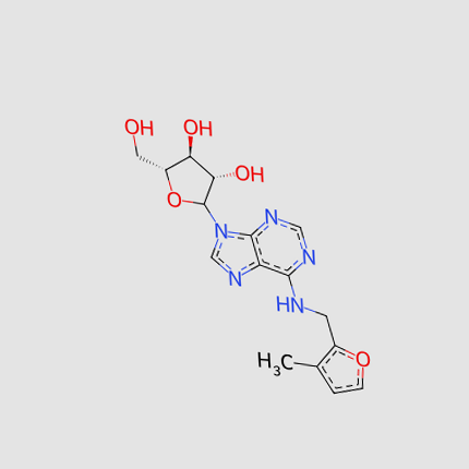 Cc1ccoc1CNc1ncnc2c1ncn2C1O[C@H](CO)[C@@H](O)[C@@H]1O